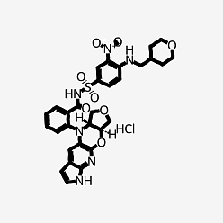 Cl.O=C(NS(=O)(=O)c1ccc(NCC2CCOCC2)c([N+](=O)[O-])c1)c1ccccc1N1c2cc3cc[nH]c3nc2O[C@@H]2COC[C@H]21